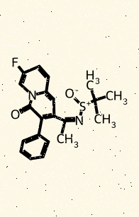 C/C(=N/[S+]([O-])C(C)(C)C)c1cc2ccc(F)cn2c(=O)c1-c1ccccc1